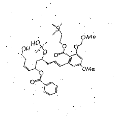 COCOc1cc(OC)cc(/C=C/C[C@@H](CC(/C=C\CCO)OC(=O)c2ccccc2)OC(C)(C)O)c1C(=O)OCC[Si](C)(C)C